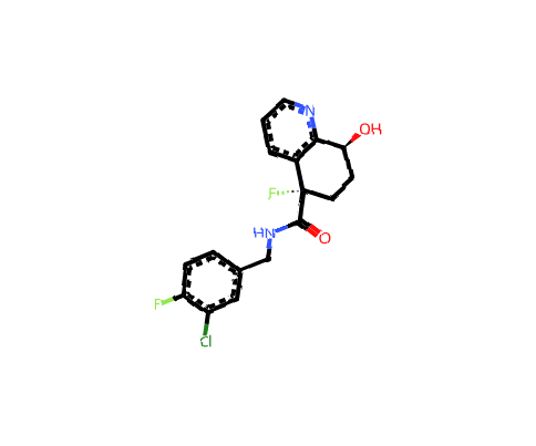 O=C(NCc1ccc(F)c(Cl)c1)[C@]1(F)CC[C@H](O)c2ncccc21